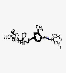 CN(C)/C=N/c1ccc(NC(=O)COP(=O)(O)O)cc1C#N